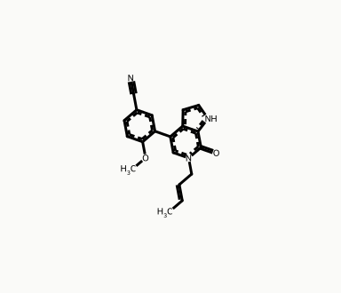 CC=CCn1cc(-c2cc(C#N)ccc2OC)c2cc[nH]c2c1=O